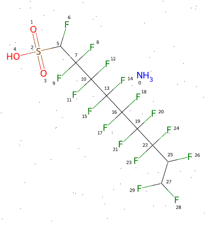 N.O=S(=O)(O)C(F)C(F)(F)C(F)(F)C(F)(F)C(F)(F)C(F)(F)C(F)(F)C(F)C(F)F